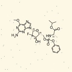 COc1nc(N)nc2c1ncn2[C@@H]1O[C@H](CO[P@@](=O)(N[C@@H](C)C(=O)OC(C)C)Oc2ccccc2)[C@@H](O)[C@@]1(C)F